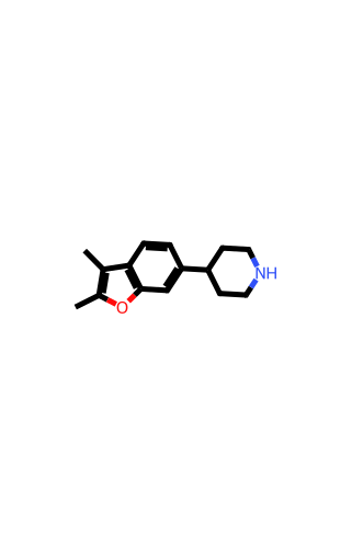 Cc1oc2cc(C3CCNCC3)ccc2c1C